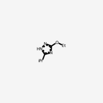 CCOc1n[nH]c(C(C)C)n1